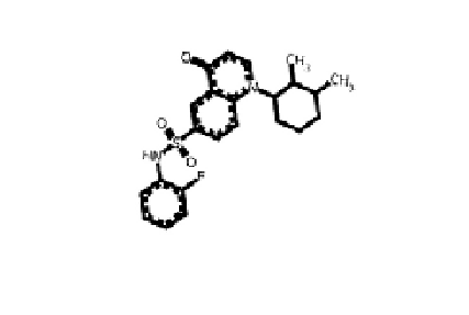 CC1CCCC(n2ccc(=O)c3cc(S(=O)(=O)Nc4ccccc4F)ccc32)C1C